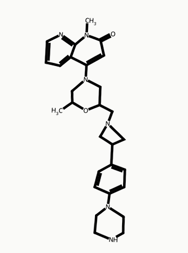 CC1CN(c2cc(=O)n(C)c3ncccc23)CC(CN2CC(c3ccc(N4CCNCC4)cc3)C2)O1